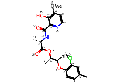 CCC[C@@H](Oc1ccc(C)cc1Cl)[C@H](C)OC(=O)[C@H](C)NC(=O)c1nccc(OC)c1O